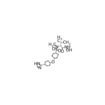 CC(C)C(C(=O)NO)N(C)S(=O)(=O)c1ccc(Oc2ccc(-c3ncc[nH]3)cc2)cc1